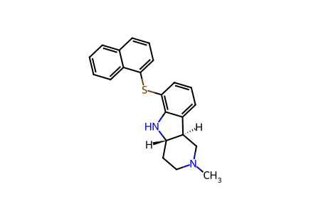 CN1CC[C@@H]2Nc3c(Sc4cccc5ccccc45)cccc3[C@H]2C1